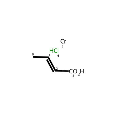 CC=CC(=O)O.Cl.[Cr]